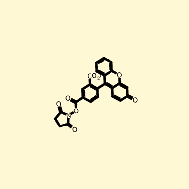 O=C(ON1C(=O)CCC1=O)c1ccc(-c2c3ccc(=O)cc-3oc3ccccc23)c(C(=O)O)c1